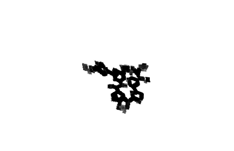 CCCC(S(=O)(=O)O)S(=O)(=O)O.Cc1cn(-c2cc(NC(=O)c3ccc(C)c(Nc4nccc(-c5cccnc5)n4)c3)cc(C(F)(F)F)c2)cn1